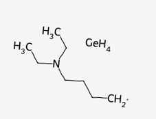 [CH2]CCCN(CC)CC.[GeH4]